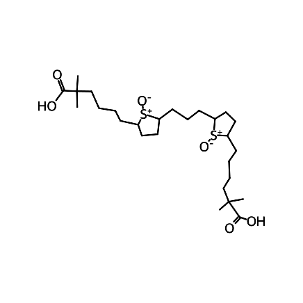 CC(C)(CCCCC1CCC(CCCC2CCC(CCCCC(C)(C)C(=O)O)[S+]2[O-])[S+]1[O-])C(=O)O